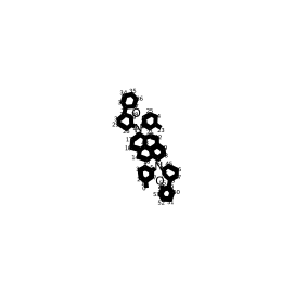 Cc1cccc(N(c2ccc3c4c2C=CC2=CC=C(N(C5=CC(C)CC=C5)C5C=CC=C6C7C=CCCC7OC65)C(C=C3)C24)C2C=CC=C3c4ccccc4OC32)c1